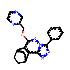 c1ccc(-c2nnc3c4c(c(OCc5cnccn5)nn23)C2CCC4CC2)cc1